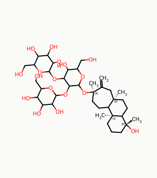 C=C1C[C@@]2(C)CCC3[C@@](C)(CCC[C@@]3(C)O)C2CC[C@@]1(C)OC1OC(CO)C(O)C(OC2OC(CO)C(O)C(O)C2O)C1OC1OC(CO)C(O)C(O)C1O